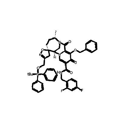 C[C@H]1CC[C@@]2(CC(CO[Si](c3ccccc3)(c3ccccc3)C(C)(C)C)=NO2)[C@H]2CN1C(=O)c1c(OCc3ccccc3)c(=O)c(C(=O)NCc3ccc(F)cc3F)cn12